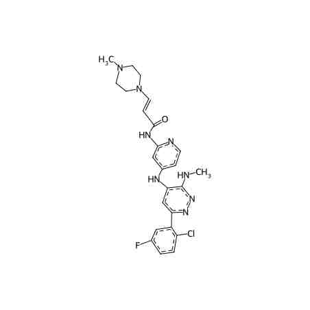 CNc1nnc(-c2cc(F)ccc2Cl)cc1Nc1ccnc(NC(=O)C=CN2CCN(C)CC2)c1